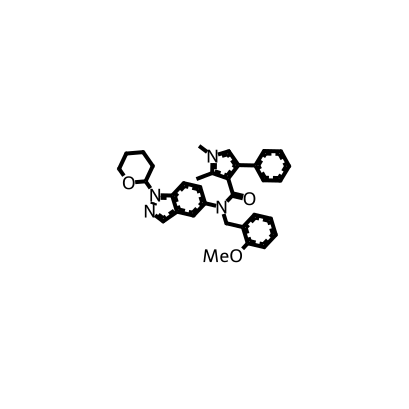 COc1ccccc1CN(C(=O)c1c(-c2ccccc2)cn(C)c1C)c1ccc2c(cnn2C2CCCCO2)c1